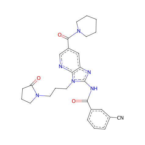 N#Cc1cccc(C(=O)Nc2nc3cc(C(=O)N4CCCCC4)cnc3n2CCCN2CCCC2=O)c1